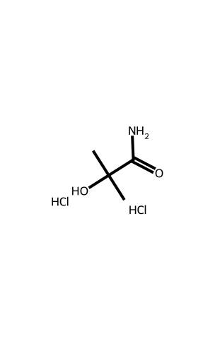 CC(C)(O)C(N)=O.Cl.Cl